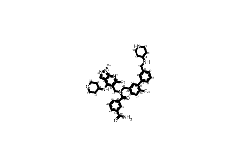 CCc1nc2c(cnn2CC)c(NC2CCOCC2)c1CN(Cc1ccc(F)c(-c2cccc(CNC3CCNCC3)c2)c1)C(=O)c1cccc(C(N)=O)c1